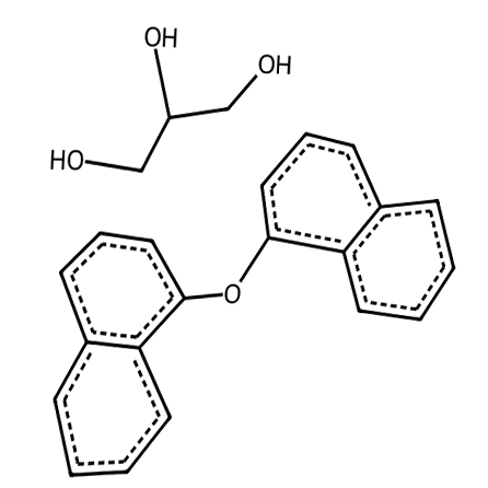 OCC(O)CO.c1ccc2c(Oc3cccc4ccccc34)cccc2c1